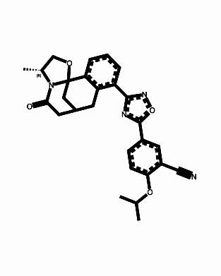 CC(C)Oc1ccc(-c2nc(-c3cccc4c3CC3CC(=O)N5[C@H](C)COC45C3)no2)cc1C#N